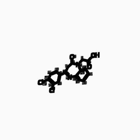 O=C(O)CN1C(=O)CC(c2ccc(Cl)c(Cl)c2)=Nc2ccccc21